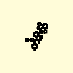 Cc1cnc2c(NC(=O)c3c(Cl)cccc3Cl)cccc2c1N(C=O)N1CCSCC1